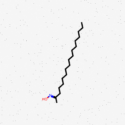 CCCCCCCCCCCCCCCCC(C)=NO